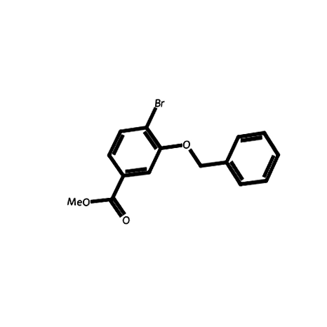 COC(=O)c1ccc(Br)c(OCc2ccccc2)c1